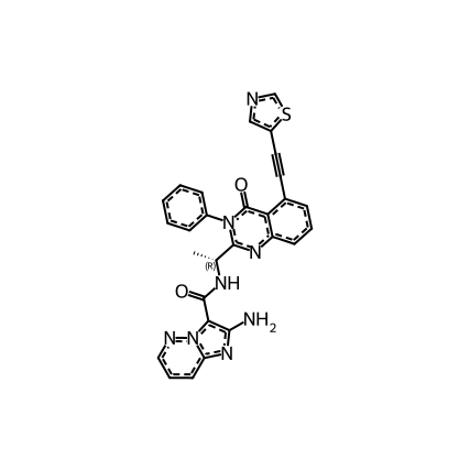 C[C@@H](NC(=O)c1c(N)nc2cccnn12)c1nc2cccc(C#Cc3cncs3)c2c(=O)n1-c1ccccc1